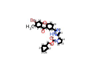 Cc1cc2c(=O)c3cc(-c4ncc([C@@H]5CCCN5C(=O)OCc5ccccc5)[nH]4)ccc3oc2cc1Br